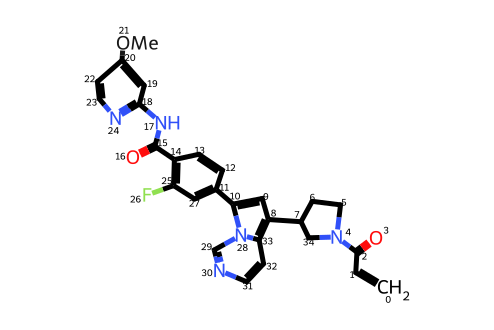 C=CC(=O)N1CCC(c2cc(-c3ccc(C(=O)Nc4cc(OC)ccn4)c(F)c3)n3cnccc23)C1